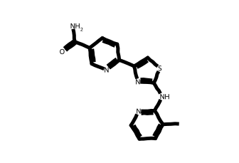 Cc1cccnc1Nc1nc(-c2ccc(C(N)=O)cn2)cs1